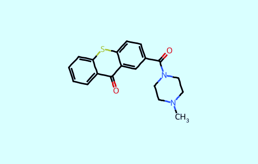 CN1CCN(C(=O)c2ccc3sc4ccccc4c(=O)c3c2)CC1